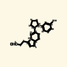 O=CCCc1cnc2ccc(N3CCC[C@@H]3c3cccc(F)c3)nn12